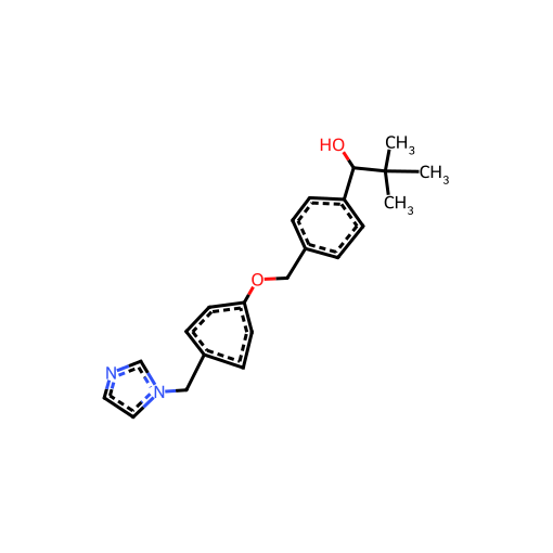 CC(C)(C)C(O)c1ccc(COc2ccc(Cn3ccnc3)cc2)cc1